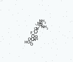 CCc1nc(N)nc(N)c1CN1CCc2cc(-c3c(F)cc4c(=O)c(C(=O)O)cn(C5CC5)c4c3OC)ccc21